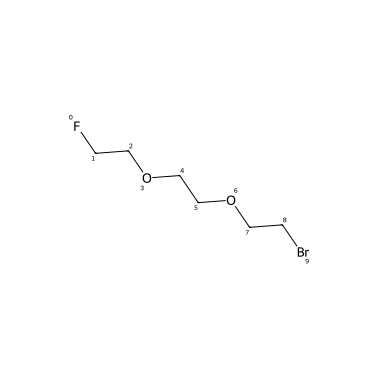 FCCOCCOCCBr